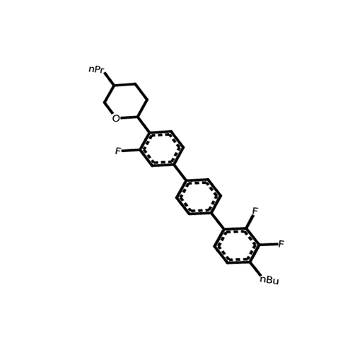 CCCCc1ccc(-c2ccc(-c3ccc(C4CCC(CCC)CO4)c(F)c3)cc2)c(F)c1F